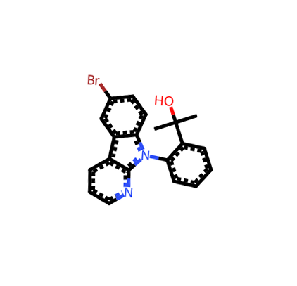 CC(C)(O)c1ccccc1-n1c2ccc(Br)cc2c2cccnc21